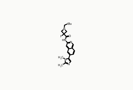 Cc1ncc(-c2ccc3cnc(NC(=O)C4(F)CN(CC(C)(C)C)C4)cc3c2)n1C